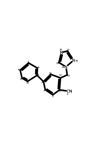 N#Cc1ccc(-c2ccccc2)cc1Cn1cncn1